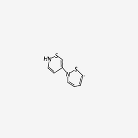 [C]1=CC=CN(C2=CSNC=C2)S1